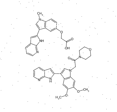 COc1cc2c(-c3cc4cccnc4[nH]3)cn(CC(=O)N3CCOCC3)c2cc1OC.Cn1cc(-c2cc3cccnc3[nH]2)c2cc(OCC(=O)O)ccc21